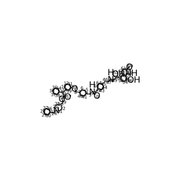 O=C(NCc1ccc(COc2cccc(C(C(=O)OCC3CCN(Cc4ccccc4)CC3)c3ccccc3)c2)cc1)c1ccc(CCNC[C@H](O)c2ccc(O)c3[nH]c(=O)ccc23)cc1